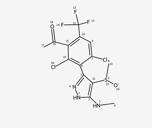 CNc1[nH]nc(-c2c(Cl)cc(C(F)(F)F)c(C(C)=O)c2Cl)c1[S+](C)[O-]